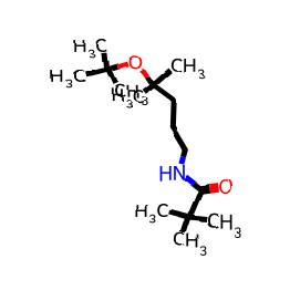 CC(C)(C)OC(C)(C)CCCNC(=O)C(C)(C)C